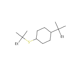 CCC(C)(C)SC1CCC(C(C)(C)CC)CC1